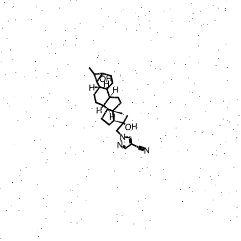 CC1C2[C@H]3CC[C@@H]4[C@H](CC[C@]5(C)[C@@H](C(C)(O)Cn6cc(C#N)cn6)CC[C@@H]45)[C@H]3CC[C@]12O